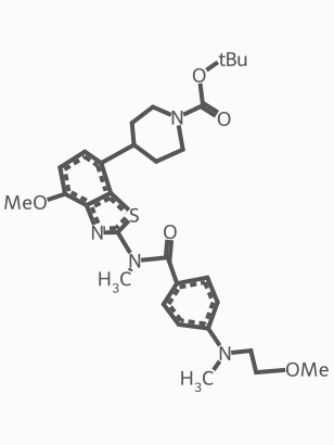 COCCN(C)c1ccc(C(=O)N(C)c2nc3c(OC)ccc(C4CCN(C(=O)OC(C)(C)C)CC4)c3s2)cc1